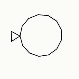 C1CCCCCCC2(CCCCC1)CC2